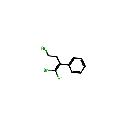 BrCCC(=C(Br)Br)c1ccccc1